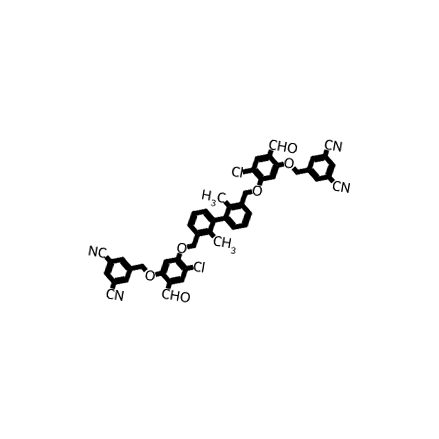 Cc1c(COc2cc(OCc3cc(C#N)cc(C#N)c3)c(C=O)cc2Cl)cccc1-c1cccc(COc2cc(OCc3cc(C#N)cc(C#N)c3)c(C=O)cc2Cl)c1C